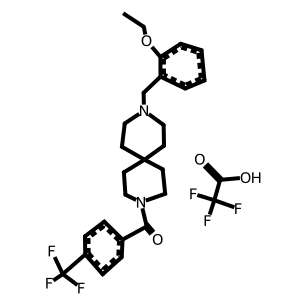 CCOc1ccccc1CN1CCC2(CC1)CCN(C(=O)c1ccc(C(F)(F)F)cc1)CC2.O=C(O)C(F)(F)F